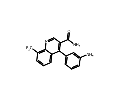 NC(=O)c1cnc2c(C(F)(F)F)cccc2c1-c1cccc(N)c1